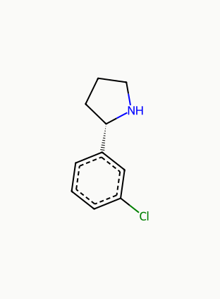 Clc1cccc([C@@H]2CCCN2)c1